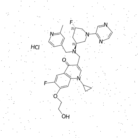 Cc1cc(CN(Cc2cn(C3CC3)c3cc(OCCO)c(F)cc3c2=O)[C@H]2C[C@H](F)CN(c3cnccn3)C2)ccn1.Cl